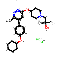 CCCCc1nnc(OC2CCN(CC(C)(C)O)CC2)cc1-c1ccc(OC2CCCCC2)cc1.Cl.Cl